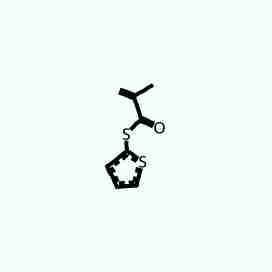 C=C(C)C(=O)Sc1cccs1